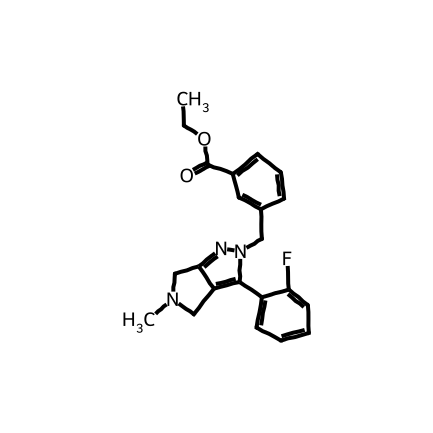 CCOC(=O)c1cccc(Cn2nc3c(c2-c2ccccc2F)CN(C)C3)c1